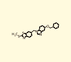 CSc1nc2ccc(Cn3cnc4cc(OCc5ccccc5)ccc43)cc2s1